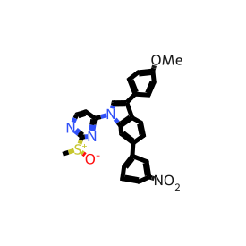 COc1ccc(-c2cn(-c3ccnc([S+](C)[O-])n3)c3cc(-c4cccc([N+](=O)[O-])c4)ccc23)cc1